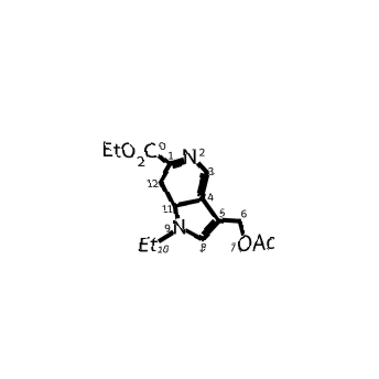 CCOC(=O)C1=NC=C2C(COC(C)=O)=CN(CC)C2C1